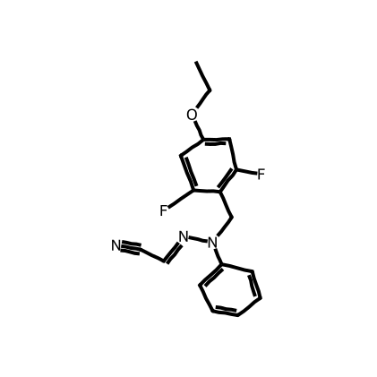 CCOc1cc(F)c(CN(/N=C/C#N)c2ccccc2)c(F)c1